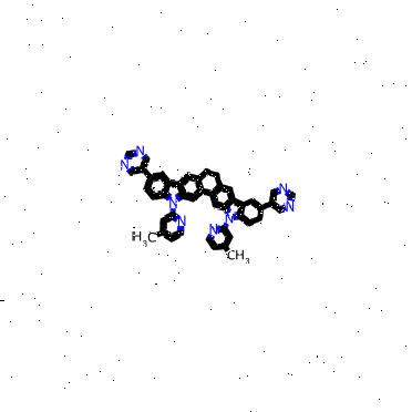 Cc1ccnc(-n2c3c(c4cc5c(cc42)-c2cc4c(cc2CC5)c2cc(-c5cncnc5)ccc2n4-c2cc(C)ccn2)C=C(c2cncnc2)CC3)c1